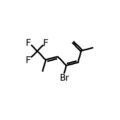 C=C(C)/C=C(Br)\C=C(/C)C(F)(F)F